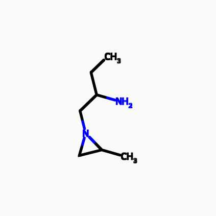 CCC(N)CN1CC1C